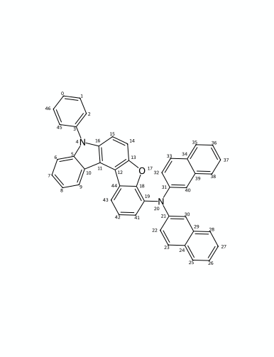 c1ccc(-n2c3ccccc3c3c4c(ccc32)oc2c(N(c3ccc5ccccc5c3)c3ccc5ccccc5c3)cccc24)cc1